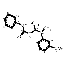 COc1cccc(N(C)C(C)OC(=O)Oc2ccccc2)c1